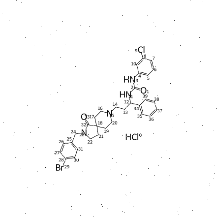 Cl.O=C(Nc1cccc(Cl)c1)NC(CCN1CCC2(CC1)CCN(Cc1ccc(Br)cc1)C2=O)c1ccccc1